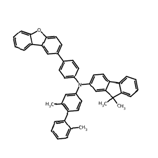 Cc1ccccc1-c1ccc(N(c2ccc(-c3ccc4oc5ccccc5c4c3)cc2)c2ccc3c(c2)C(C)(C)c2ccccc2-3)cc1C